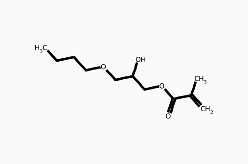 C=C(C)C(=O)OCC(O)COCCCC